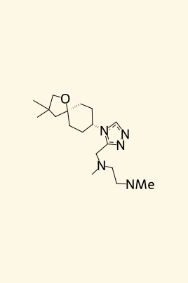 CNCCN(C)Cc1nncn1[C@H]1CC[C@]2(CC1)CC(C)(C)CO2